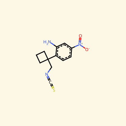 Nc1cc([N+](=O)[O-])ccc1C1(CN=C=S)CCC1